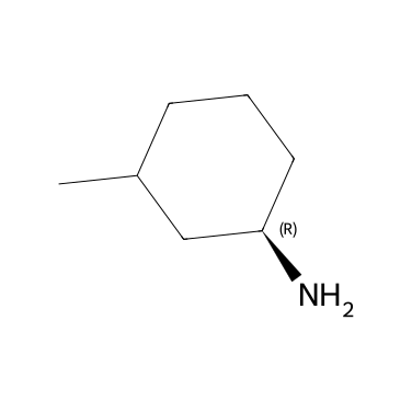 CC1CCC[C@@H](N)C1